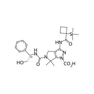 CC1(C)c2c(c(NC(=O)C3([Si](C)(C)C)CCC3)nn2C(=O)O)CN1C(=O)N[C@H](CO)c1ccccc1